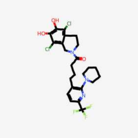 O=C(CCCc1ccc(C(F)(F)F)nc1N1CCCCC1)N1CCc2c(Cl)c(O)c(O)c(Cl)c2C1